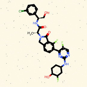 C[C@H](C(=O)N[C@H](CO)c1cccc(Cl)c1)N1Cc2ccc(-c3nc(NC4CCC(O)C(F)C4)ncc3F)c(F)c2C1=O